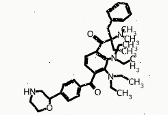 CCN(CC)c1c(C(=O)c2ccc(C3CNCCO3)cc2)ccc(C(=O)C(CC)(Cc2ccccc2)N(C)C)c1N(CC)CC